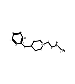 CC(C)NCCN1CCC(Cc2ccccc2)CC1